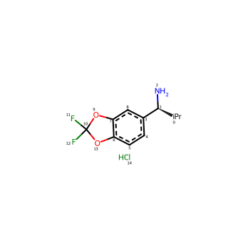 CC(C)[C@H](N)c1ccc2c(c1)OC(F)(F)O2.Cl